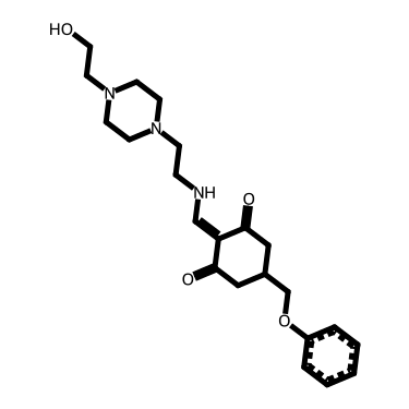 O=C1CC(COc2ccccc2)CC(=O)C1=CNCCN1CCN(CCO)CC1